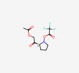 CC(=O)OCC(=O)[C@@H]1CCCN1OC(=O)C(F)(F)F